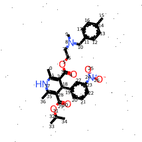 CC1=C(C(=O)OCCN(C)Cc2ccc(C)cc2)C(c2cccc([N+](=O)[O-])c2)C(C(=O)OC(C)C)=C(C)N1